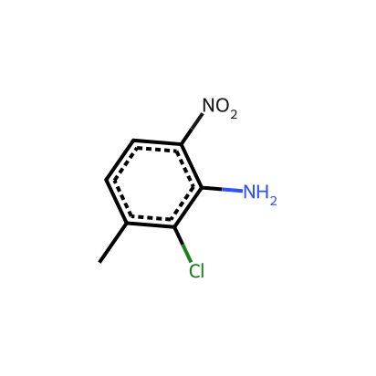 Cc1ccc([N+](=O)[O-])c(N)c1Cl